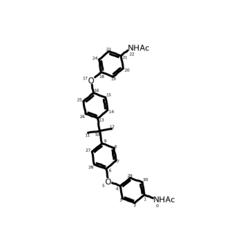 CC(=O)Nc1ccc(Oc2ccc(C(C)(C)c3ccc(Oc4ccc(NC(C)=O)cc4)cc3)cc2)cc1